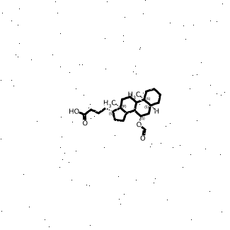 C[C@]12CCC3C(C1CC[C@@H]2CCCC(=O)O)[C@@H](OC=O)C[C@@H]1CCCC[C@]31C